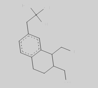 CCC1c2cc(CC(C)(C)C)ccc2CCC1CO